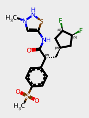 CN1C=C(NC(=O)[C@H](C[C@H]2C[C@@H](F)[C@@H](F)C2)c2ccc(S(C)(=O)=O)cc2)SN1